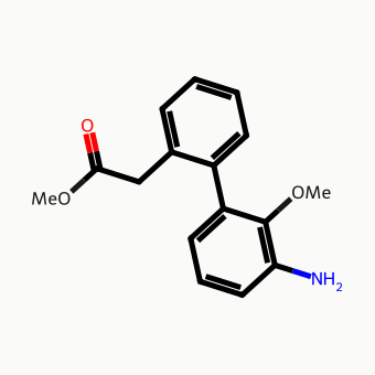 COC(=O)Cc1ccccc1-c1cccc(N)c1OC